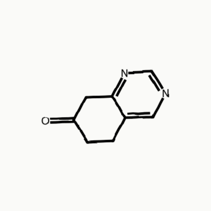 O=C1CCc2cncnc2C1